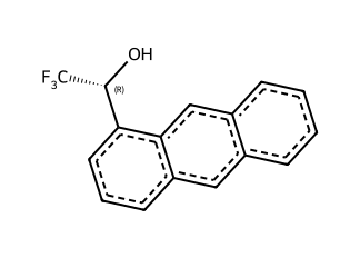 O[C@H](c1cccc2cc3ccccc3cc12)C(F)(F)F